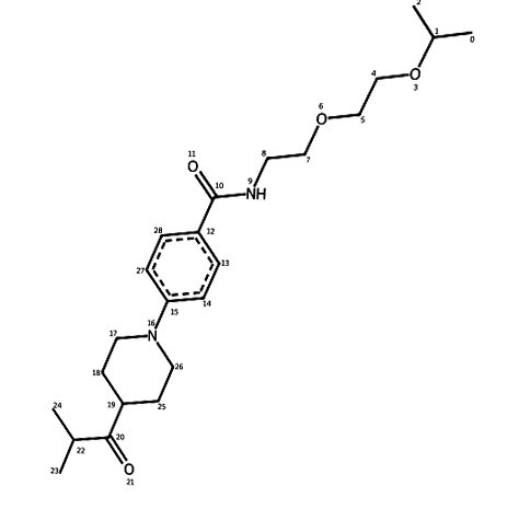 CC(C)OCCOCCNC(=O)c1ccc(N2CCC(C(=O)C(C)C)CC2)cc1